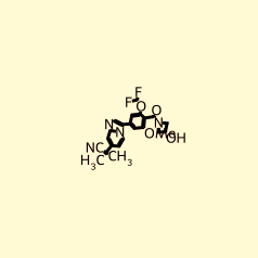 COc1cc(-c2cnc3cc(C(C)(C)C#N)ccn23)cc(OC(F)F)c1C(=O)N1CC(O)C1